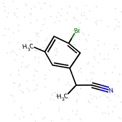 [CH2]C(C#N)c1cc(C)cc(Br)c1